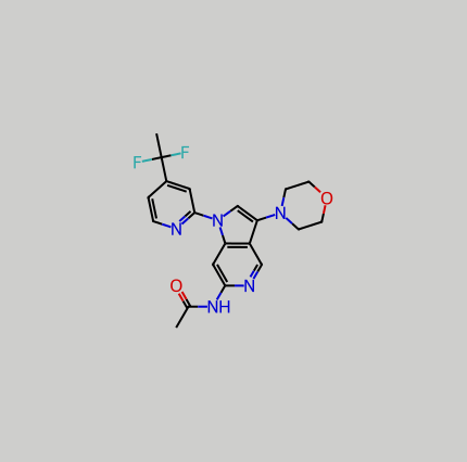 CC(=O)Nc1cc2c(cn1)c(N1CCOCC1)cn2-c1cc(C(C)(F)F)ccn1